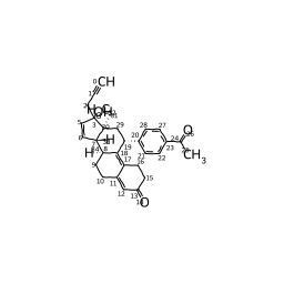 C#CC[C@]1(O)C=C[C@H]2[C@@H]3CCC4=CC(=O)CCC4=C3[C@@H](c3ccc(C(C)=O)cc3)C[C@@]21CC